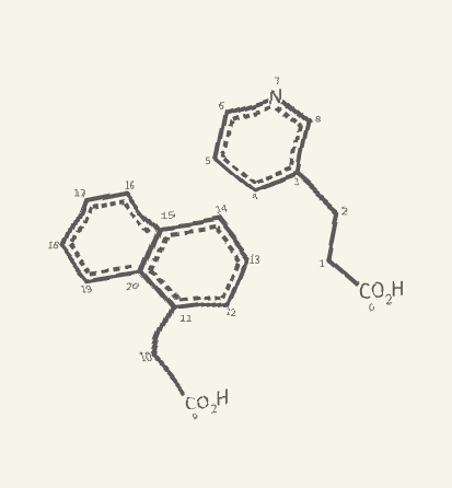 O=C(O)CCc1cccnc1.O=C(O)Cc1cccc2ccccc12